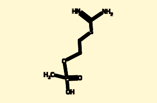 CP(=O)(O)OCCSC(=N)N